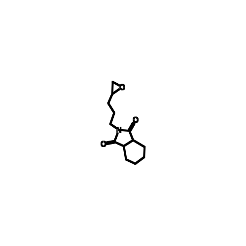 O=C1C2CCCCC2C(=O)N1CCCC1CO1